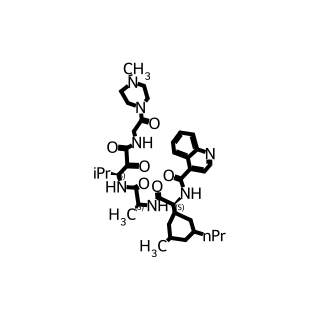 CCCC1CC(C)CC([C@H](NC(=O)c2ccnc3ccccc23)C(=O)N[C@@H](C)C(=O)N[C@H](C(=O)C(=O)NCC(=O)N2CCN(C)CC2)C(C)C)C1